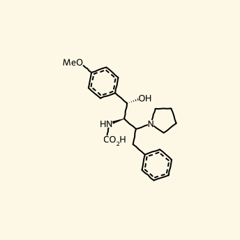 COc1ccc([C@H](O)[C@H](NC(=O)O)C(Cc2ccccc2)N2CCCC2)cc1